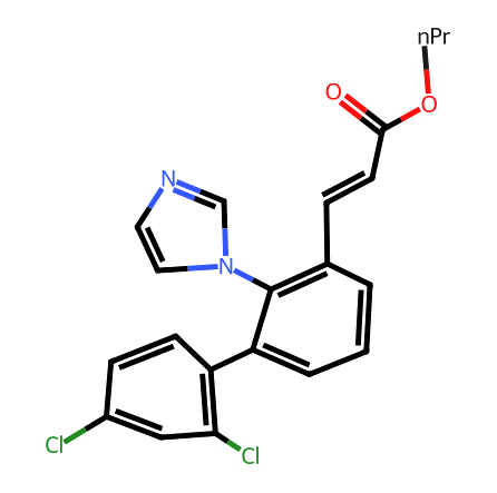 CCCOC(=O)/C=C/c1cccc(-c2ccc(Cl)cc2Cl)c1-n1ccnc1